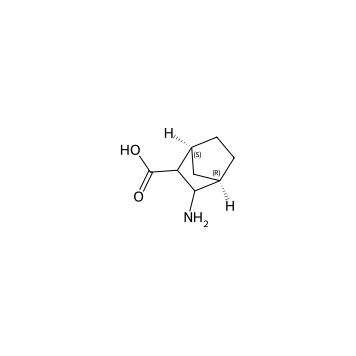 NC1C(C(=O)O)[C@H]2CC[C@@H]1C2